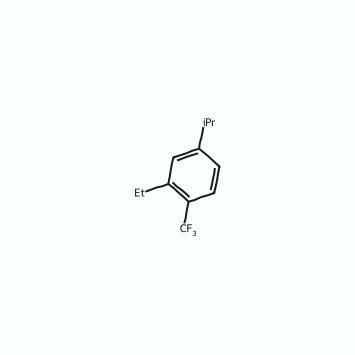 CCc1cc(C(C)C)ccc1C(F)(F)F